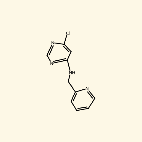 Clc1cc(NCc2ccccn2)ncn1